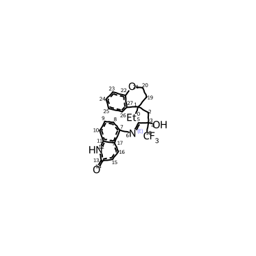 CCC1(CC(O)(/C=N/c2cccc3[nH]c(=O)ccc23)C(F)(F)F)CCOc2ccccc21